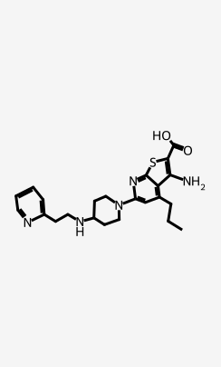 CCCc1cc(N2CCC(NCCc3ccccn3)CC2)nc2sc(C(=O)O)c(N)c12